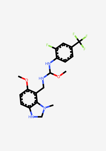 COc1ccc2c(c1CNC(Nc1ccc(C(F)(F)F)cc1F)OC)N(C)CN2